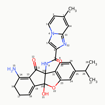 Cc1ccn2cc(C(=O)NC34C(=O)C5=C(N)CCC=C5C3(O)Oc3cc(C(C)C)ccc34)nc2c1